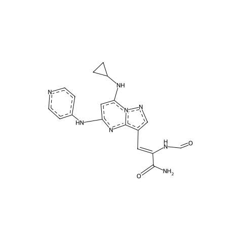 NC(=O)/C(=C/c1cnn2c(NC3CC3)cc(Nc3ccncc3)nc12)NC=O